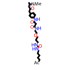 CN/C(C)=C\C(=O)Cc1ccc(NC(=O)CC(=O)NCCOCCCNC(=O)NCCCCCC(C)=O)cc1